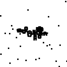 CCCn1c(=O)c2[nH]c(C34CCC(C3)C(C(=O)OC(C)(C)C)CC4)nc2n(CCC)c1=O